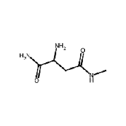 CNC(=O)CC(N)C(N)=O